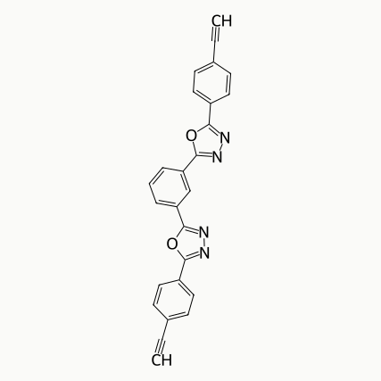 C#Cc1ccc(-c2nnc(-c3cccc(-c4nnc(-c5ccc(C#C)cc5)o4)c3)o2)cc1